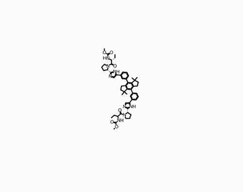 CCC(NC(=O)OC)C(=O)N1CCC[C@H]1c1ncc(-c2cccc(-c3c4c(c(-c5cccc(-c6cnc([C@@H]7CCCN7C(=O)[C@@H](CC)NC(=O)OC)[nH]6)c5)c5c3C(C)(C)CC5)C(C)(C)CC4)c2)[nH]1